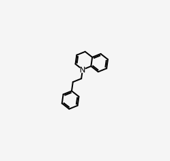 C1=CN(CCc2ccccc2)c2ccccc2C1